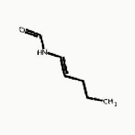 CCCC=CN[C]=O